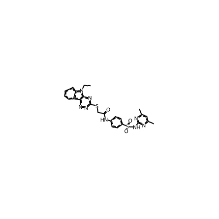 CCn1c2ccccc2c2nnc(SCC(=O)Nc3ccc(S(=O)(=O)Nc4nc(C)cc(C)n4)cc3)nc21